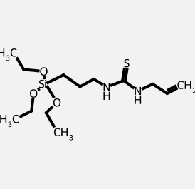 C=CCNC(=S)NCCC[Si](OCC)(OCC)OCC